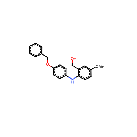 COc1ccc(Nc2ccc(OCc3ccccc3)cc2)c(CO)c1